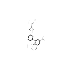 COC(=O)C1CN(c2cccc(-c3cc(C(C)C)cc4c3NCCC4)c2)C1